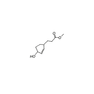 COC(=O)CCC1C=CC(O)CC1